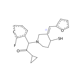 O=C(C1CC1)C(c1ccccc1F)N1CCC(S)/C(=C\c2ccco2)C1